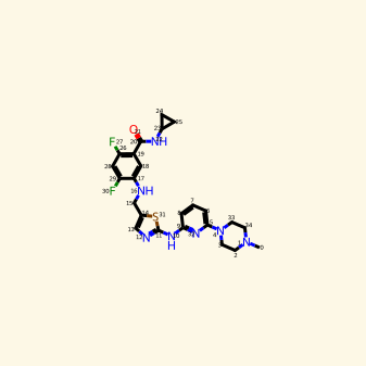 CN1CCN(c2cccc(Nc3ncc(CNc4cc(C(=O)NC5CC5)c(F)cc4F)s3)n2)CC1